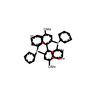 COc1cc(P(c2ccccc2)c2ccccc2)c(-c2c(P(c3ccccc3)c3ccccc3)cc(OC)c(OC)c2OC)c(OC)c1OC